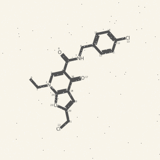 CCn1cc(C(=O)NCc2ccc(Cl)cc2)c(=O)c2cc(CCl)oc21